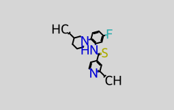 C#Cc1cc(C(=S)Nc2cc(F)ccc2N2CCCC(C#C)C2)ccn1